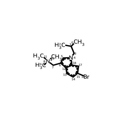 CC(C)Cn1cc(C[N+](C)(C)C)c2ccc(Br)cc21